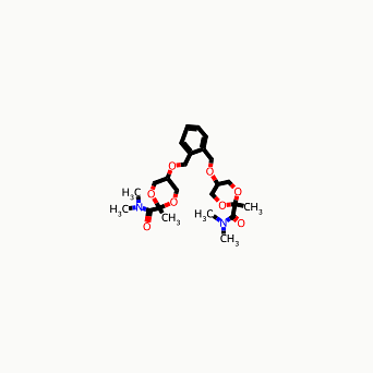 CN(C)C(=O)C1(C)OCC(OCc2ccccc2COC2COC(C)(C(=O)N(C)C)OC2)CO1